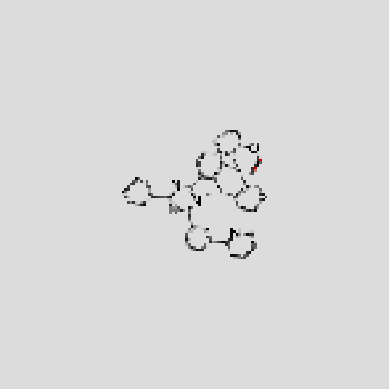 CC1(C)c2ccccc2C2(c3ccccc3Oc3ccccc32)c2cccc(-c3nc(-c4ccccc4)nc(-c4cccc(-c5ccccn5)c4)n3)c21